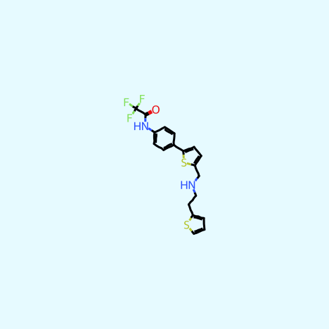 O=C(Nc1ccc(-c2ccc(CNCCc3cccs3)s2)cc1)C(F)(F)F